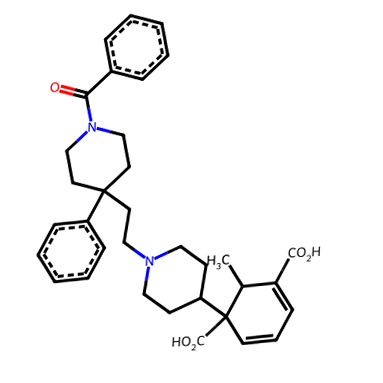 CC1C(C(=O)O)=CC=CC1(C(=O)O)C1CCN(CCC2(c3ccccc3)CCN(C(=O)c3ccccc3)CC2)CC1